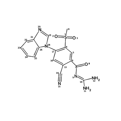 CS(=O)(=O)c1cc(C(=O)N=C(N)N)c(C#N)cc1-n1cnc2ccccc21